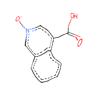 O=C(O)c1c[n+]([O-])cc2ccccc12